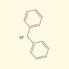 [H+].[c]1ccc(Cc2ccccc2)cc1